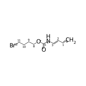 C=CC=CNC(=O)OCCCCBr